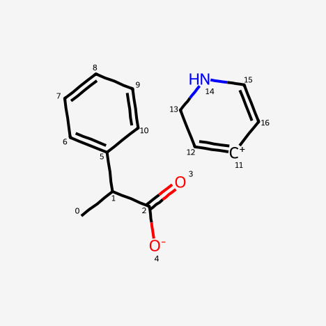 CC(C(=O)[O-])c1ccccc1.[C+]1=CCNC=C1